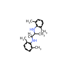 Cc1cccc(C)c1NC(C)C(C)Nc1c(C)cccc1C